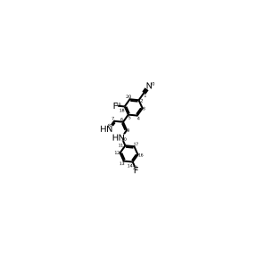 N#Cc1ccc(/C(C=N)=C/Nc2ccc(F)cc2)c(F)c1